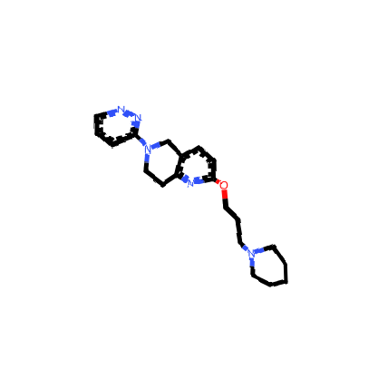 c1cnnc(N2CCc3nc(OCCCN4CCCCC4)ccc3C2)c1